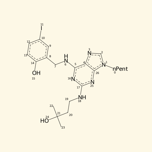 CCCCCn1cnc2c(NCc3cc(I)ccc3O)nc(NCCC(C)(C)O)nc21